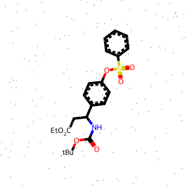 CCOC(=O)CC(NC(=O)OC(C)(C)C)c1ccc(OS(=O)(=O)c2ccccc2)cc1